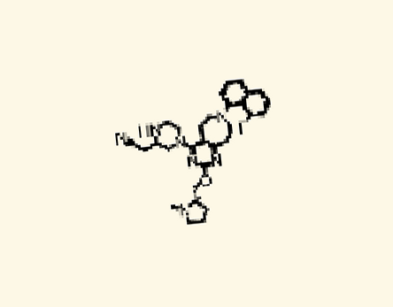 CN1CCC[C@H]1COc1nc2c(c(N3CCNC(CC#N)C3)n1)CCN(c1cccc3cccc(F)c13)CC2